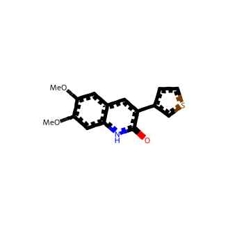 COc1cc2cc(-c3ccsc3)c(=O)[nH]c2cc1OC